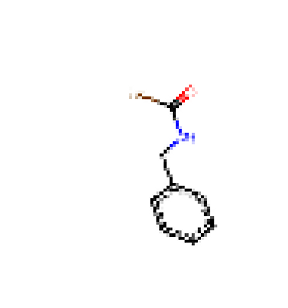 O=C(S)NCc1ccccc1